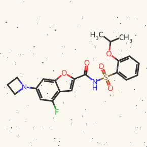 CC(C)Oc1ccccc1S(=O)(=O)NC(=O)c1cc2c(F)cc(N3CCC3)cc2o1